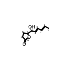 C/C=C/C=C/[C@H](O)C1CCC(=O)O1